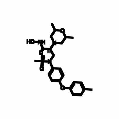 Cc1ccc(Oc2ccc(N(C[C@@H](C(=O)NO)N3CC(C)OC(C)C3)S(C)(=O)=O)cc2)cc1